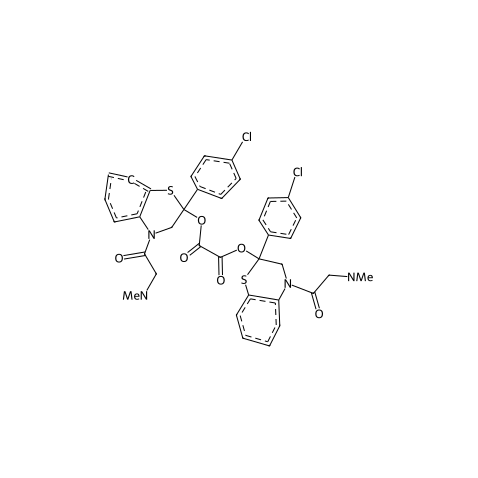 CNCC(=O)N1CC(OC(=O)C(=O)OC2(c3ccc(Cl)cc3)CN(C(=O)CNC)c3ccccc3S2)(c2ccc(Cl)cc2)Sc2ccccc21